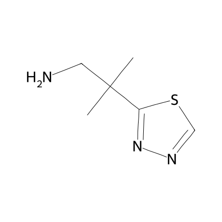 CC(C)(CN)c1nncs1